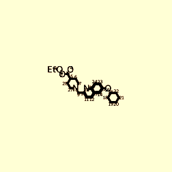 CCOOC(=O)C1CCN(Cc2ccc3cc(OC4CCCCC4)ccc3n2)CC1